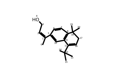 C/C(=C/CO)c1ccc2c(c1)C(C(C)(C)C)=CCC2(C)C